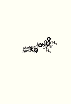 COc1cc2nccc(Oc3ccc(NC(=O)c4c(C)c(Br)c(C)n(-c5ccccc5)c4=O)cc3F)c2nc1OC